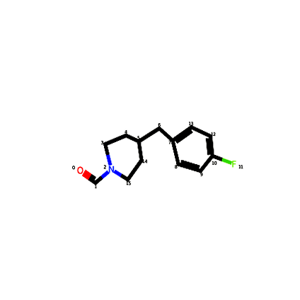 O=CN1CCC(Cc2ccc(F)cc2)CC1